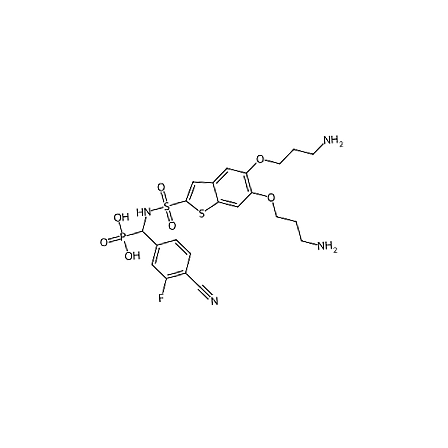 N#Cc1ccc(C(NS(=O)(=O)c2cc3cc(OCCCN)c(OCCCN)cc3s2)P(=O)(O)O)cc1F